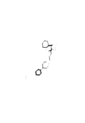 O=c1[nH]c(CCCN2CCC(c3ccc(C(F)(F)F)cc3)CC2)nc2c1CCCC2